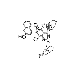 Oc1cc(-c2nc(Cl)c3c(N4CC5CCC(C4)N5)nc(OC[C@@]45CCCN4C[C@H](F)C5)nc3c2Cl)c2c(Cl)cccc2c1